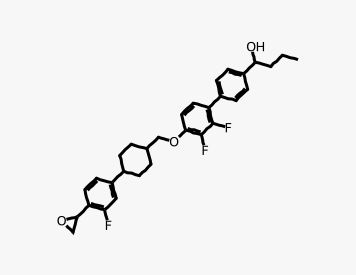 CCCC(O)c1ccc(-c2ccc(OCC3CCC(c4ccc(C5CO5)c(F)c4)CC3)c(F)c2F)cc1